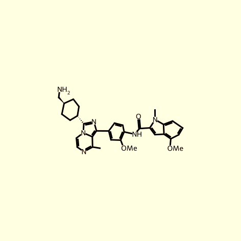 COc1cc(-c2nc([C@H]3CC[C@H](CN)CC3)n3ccnc(C)c23)ccc1NC(=O)c1cc2c(OC)cccc2n1C